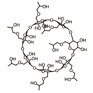 CC(O)COCC1OC2OC3C(COCC(C)O)OC(OC4C(COCC(C)O)OC(OC5C(COCC(C)O)OC(OC6C(COCC(C)O)OC(OC7C(COCC(C)O)OC(OC8C(COCC(C)O)OC(OC1C(O)C2O)C(O)C8O)C(O)C7O)C(O)C6O)C(O)C5O)C(O)C4O)C(O)C3O